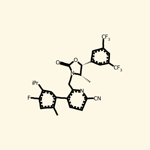 Cc1cc(F)c(C(C)C)cc1-c1ccc(C#N)nc1CN1C(=O)O[C@H](c2cc(C(F)(F)F)cc(C(F)(F)F)c2)[C@@H]1C